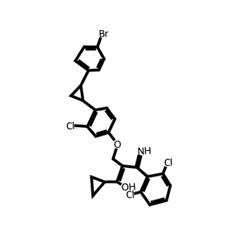 N=C(/C(COc1ccc(C2CC2c2ccc(Br)cc2)c(Cl)c1)=C(\O)C1CC1)c1c(Cl)cccc1Cl